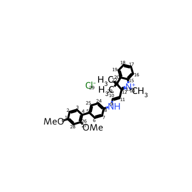 COc1ccc(-c2ccc(NC=CC3=[N+](C)c4ccccc4C3(C)C)cc2)c(OC)c1.[Cl-]